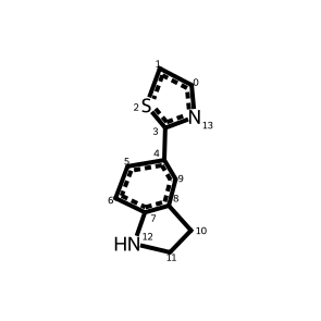 c1csc(-c2ccc3c(c2)CCN3)n1